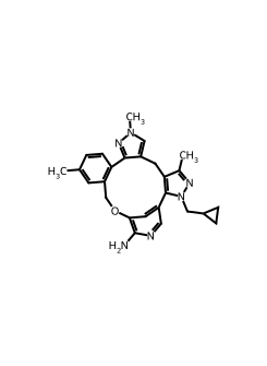 Cc1ccc2c(c1)COc1cc(cnc1N)-c1c(c(C)nn1CC1CC1)Cc1cn(C)nc1-2